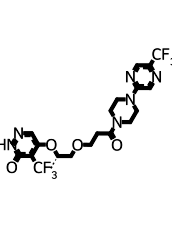 C[C@@H](COCCC(=O)N1CCN(c2cnc(C(F)(F)F)cn2)CC1)Oc1cn[nH]c(=O)c1C(F)(F)F